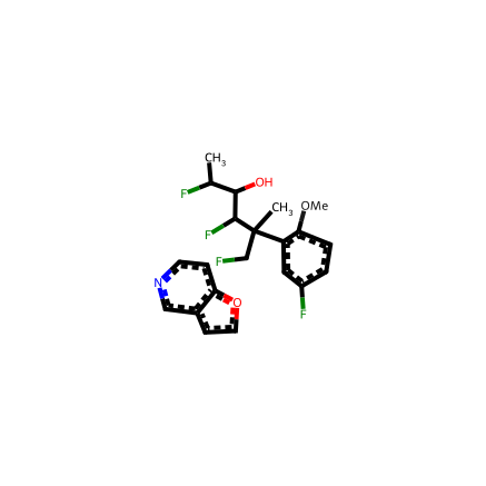 COc1ccc(F)cc1C(C)(CF)C(F)C(O)C(C)F.c1cc2occc2cn1